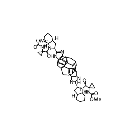 COC(=O)NC1(C(=O)N2[C@H](c3nc4cc(-c5cc6ccc5CCc5ccc(c(-c7ccc8[nH]c([C@@H]9C[C@@H]%10CCCC[C@@H]%10N9C(=O)C9(NC(=O)OC)CC9)nc8c7)c5)CC6)ccc4[nH]3)C[C@@H]3CCCC[C@@H]32)CC1